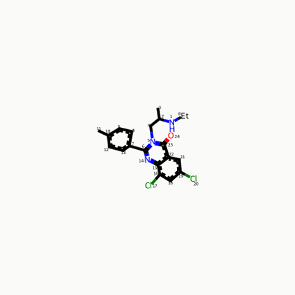 CCNC(C)Cn1c(-c2ccc(C)cc2)nc2c(Cl)cc(Cl)cc2c1=O